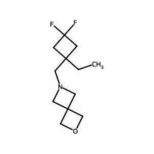 CCC1(CN2CC3(COC3)C2)CC(F)(F)C1